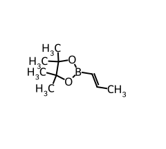 CC=CB1OC(C)(C)C(C)(C)O1